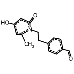 Cc1cc(O)cc(=O)n1CCc1ccc(C=O)cc1